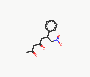 CC(=O)CC(=O)CC(C[N+](=O)[O-])c1ccccc1